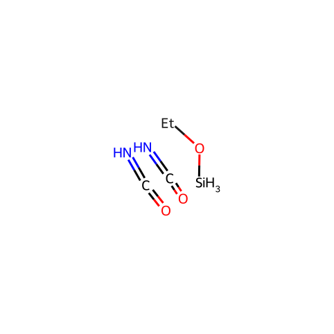 CCO[SiH3].N=C=O.N=C=O